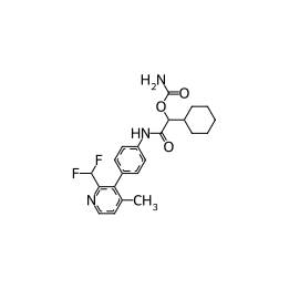 Cc1ccnc(C(F)F)c1-c1ccc(NC(=O)C(OC(N)=O)C2CCCCC2)cc1